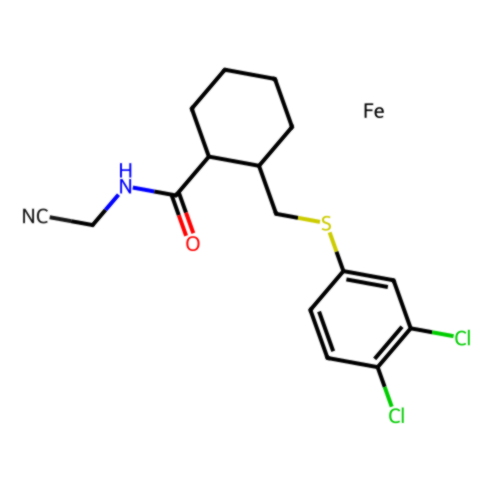 N#CCNC(=O)C1CCCCC1CSc1ccc(Cl)c(Cl)c1.[Fe]